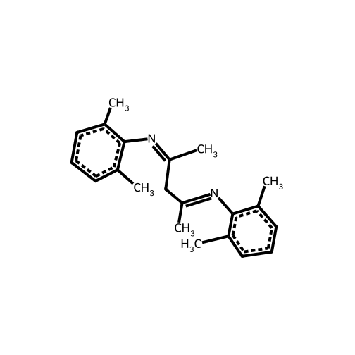 CC(CC(C)=Nc1c(C)cccc1C)=Nc1c(C)cccc1C